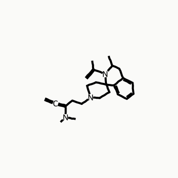 C=C=C(CCN1CCC2(CC1)c1ccccc1CC(C)N2C(=C)C)N(C)C